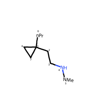 CCCC1(CCNNC)CC1